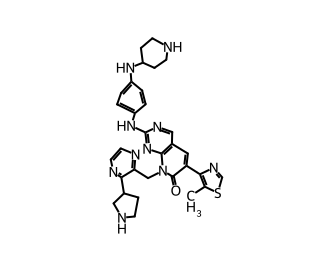 Cc1scnc1-c1cc2cnc(Nc3ccc(NC4CCNCC4)cc3)nc2n(Cc2nccnc2C2CCNC2)c1=O